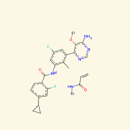 C=CC(=O)NCC.CCOc1c(N)ncnc1-c1cc(F)cc(NC(=O)c2ccc(C3CC3)cc2F)c1C